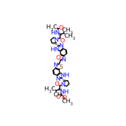 COC(=O)N[C@H](C(=O)N1CCC[C@H]1c1nc2ccc3nc(-c4nc5ccc6nc([C@@H]7CCCN7C(=O)[C@@H](NC(C)=O)C(C)C)[nH]c6c5o4)sc3c2[nH]1)C(C)C